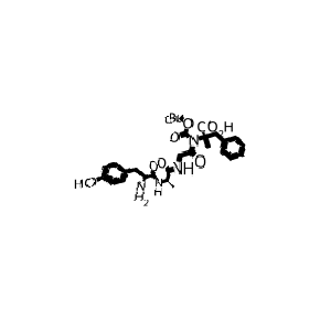 C[C@@H](NC(=O)[C@@H](N)Cc1ccc(O)cc1)C(=O)NCC(=O)N(C(=O)OC(C)(C)C)[C@@](C)(Cc1ccccc1)C(=O)O